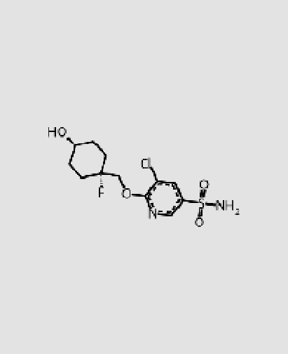 NS(=O)(=O)c1cnc(OC[C@]2(F)CC[C@H](O)CC2)c(Cl)c1